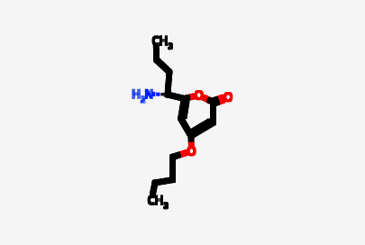 CCCCOc1cc([C@H](N)CCC)oc(=O)c1